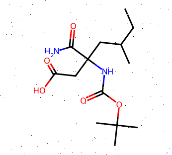 CCC(C)CC(CC(=O)O)(NC(=O)OC(C)(C)C)C(N)=O